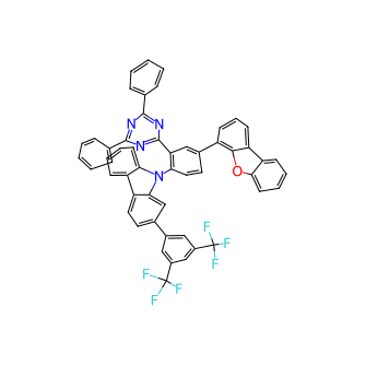 FC(F)(F)c1cc(-c2ccc3c4ccccc4n(-c4ccc(-c5cccc6c5oc5ccccc56)cc4-c4nc(-c5ccccc5)nc(-c5ccccc5)n4)c3c2)cc(C(F)(F)F)c1